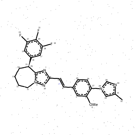 COc1cc(/C=C/c2nc3n(n2)CCCC[C@H]3c2cc(F)c(F)c(F)c2)ccc1-n1cnc(C)c1